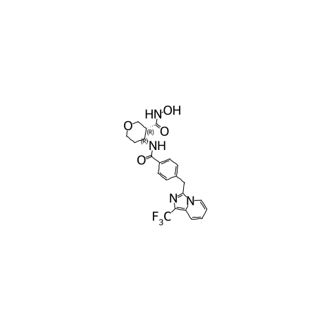 O=C(N[C@@H]1CCOC[C@@H]1C(=O)NO)c1ccc(Cc2nc(C(F)(F)F)c3ccccn23)cc1